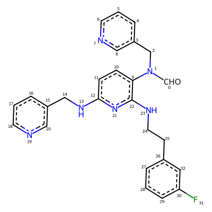 O=CN(Cc1cccnc1)c1ccc(NCc2cccnc2)nc1NCCc1cccc(F)c1